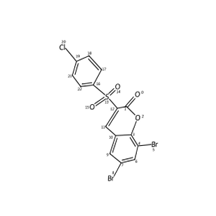 O=c1oc2c(Br)cc(Br)cc2cc1S(=O)(=O)c1ccc(Cl)cc1